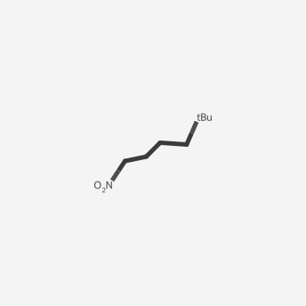 CC(C)(C)CCCC[N+](=O)[O-]